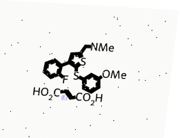 CNCc1cc(-c2ccccc2F)c(Sc2cccc(OC)c2)s1.O=C(O)/C=C/C(=O)O